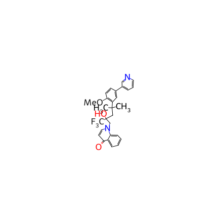 COc1ccc(-c2cccnc2)cc1C(C)(C)CC(O)(Cn1ccc(=O)c2ccccc21)C(F)(F)F